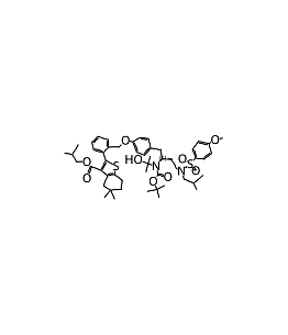 COc1ccc(S(=O)(=O)N(CC[C@H](Cc2ccc(OCc3ccccc3-c3sc4c(c3C(=O)OCC(C)C)CC(C)(C)CC4)cc2)N(C(=O)OC(C)(C)C)C(C)(C)O)CC(C)C)cc1